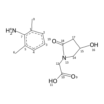 Cc1cccc(C)c1N.O=C(O)CN1CC(O)CC1=O